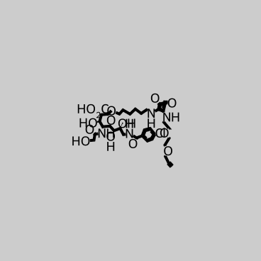 C#CCOCCOCCNc1c(NCCCCCCO[C@]2(C(=O)O)C[C@H](O)[C@@H](NC(=O)CO)[C@H]([C@H](O)[C@H](O)CNC(=O)c3ccc(Cl)cc3)O2)c(=O)c1=O